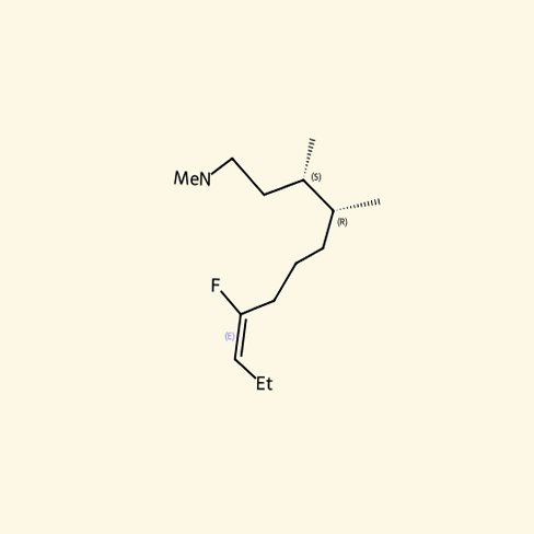 CC/C=C(/F)CCC[C@@H](C)[C@@H](C)CCNC